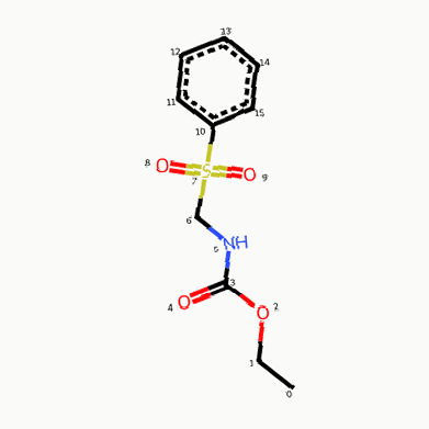 CCOC(=O)NCS(=O)(=O)c1ccccc1